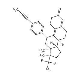 [CH2]C#Cc1ccc([C@H]2C[C@@]3(C)[C@@H](CC[C@@]3(O)C(F)(F)C(F)(F)F)[C@@H]3CCC4=CC(=O)CCC4=C32)cc1